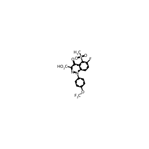 CS(=O)(=O)c1c(F)ccc2c1c(=O)c(C(=O)O)nn2-c1ccc(OC(F)(F)F)cc1